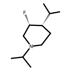 CC(C)[C@@H]1CCN(C(C)C)C[C@@H]1F